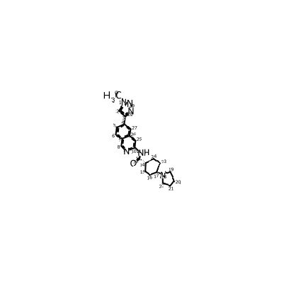 Cn1cc(-c2ccc3cnc(NC(=O)[C@H]4CC[C@H](N5CCCC5)CC4)cc3c2)nn1